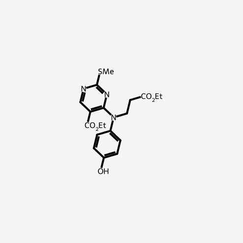 CCOC(=O)CCN(c1ccc(O)cc1)c1nc(SC)ncc1C(=O)OCC